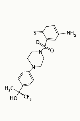 C[C@@](O)(c1ccc(N2CCN(S(=O)(=O)C3=CC(N)=CCC3=S)CC2)cc1)C(F)(F)F